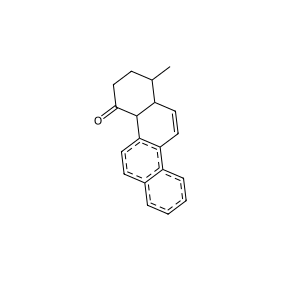 CC1CCC(=O)C2c3ccc4ccccc4c3C=CC12